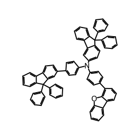 c1ccc(C2(c3ccccc3)c3ccccc3-c3cc(N(c4ccc(-c5ccc6c(c5)C(c5ccccc5)(c5ccccc5)c5ccccc5-6)cc4)c4ccc(-c5cccc6c5oc5ccccc56)cc4)ccc32)cc1